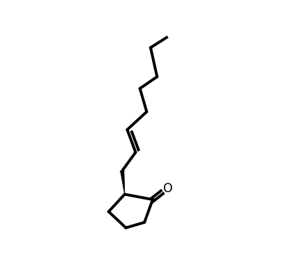 CCCCCC=CC[C@@H]1CCCC1=O